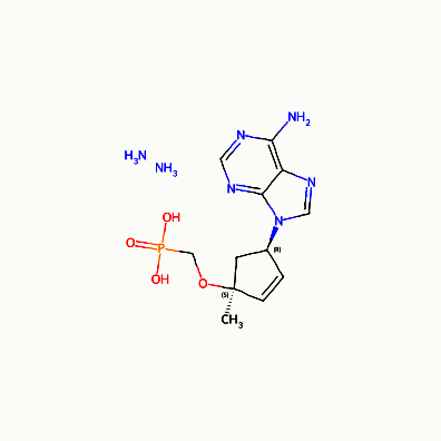 C[C@@]1(OCP(=O)(O)O)C=C[C@H](n2cnc3c(N)ncnc32)C1.N.N